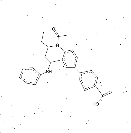 CCC1CC(Nc2ccccc2)c2cc(-c3ccc(C(=O)O)cc3)ccc2N1C(C)=O